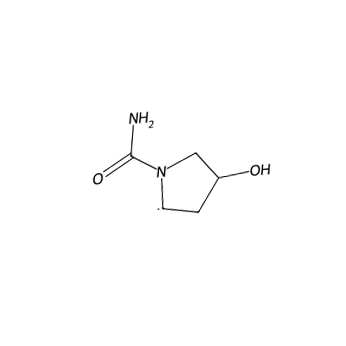 NC(=O)N1[CH]CC(O)C1